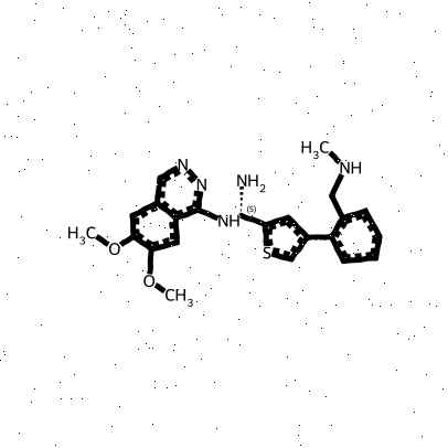 CNCc1ccccc1-c1csc([C@@H](N)Nc2nncc3cc(OC)c(OC)cc23)c1